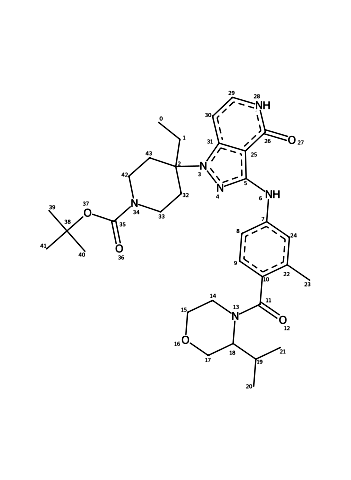 CCC1(n2nc(Nc3ccc(C(=O)N4CCOCC4C(C)C)c(C)c3)c3c(=O)[nH]ccc32)CCN(C(=O)OC(C)(C)C)CC1